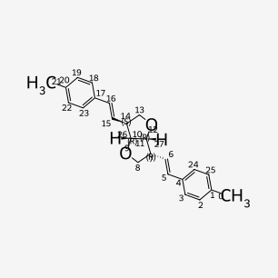 Cc1ccc(C=C[C@@H]2CO[C@H]3[C@@H]2OC[C@@H]3C=Cc2ccc(C)cc2)cc1